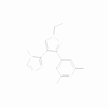 CC(C)Cn1cc(-c2nncn2C)c(-c2cc(Cl)nc(Cl)c2)n1